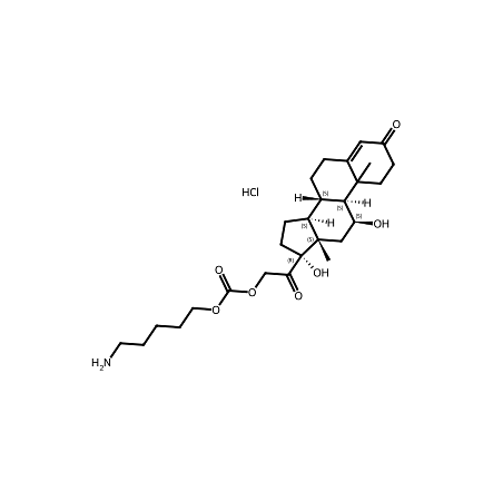 CC12CCC(=O)C=C1CC[C@@H]1[C@@H]2[C@@H](O)C[C@@]2(C)[C@H]1CC[C@]2(O)C(=O)COC(=O)OCCCCCN.Cl